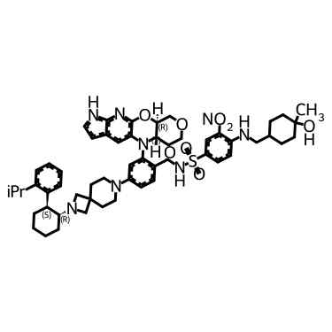 CC(C)c1ccccc1[C@@H]1CCCC[C@H]1N1CC2(CCN(c3ccc(C(=O)NS(=O)(=O)c4ccc(NCC5CCC(C)(O)CC5)c([N+](=O)[O-])c4)c(N4c5cc6cc[nH]c6nc5O[C@H]5COCC[C@@H]54)c3)CC2)C1